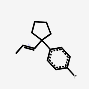 C/C=C/C1(c2ccc(F)cc2)CCCC1